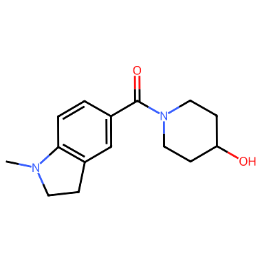 CN1CCc2cc(C(=O)N3CCC(O)CC3)ccc21